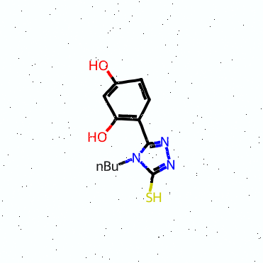 CCCCn1c(S)nnc1-c1ccc(O)cc1O